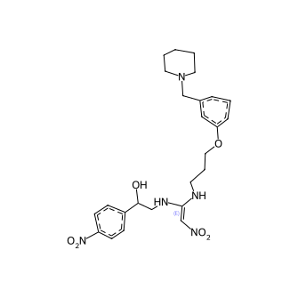 O=[N+]([O-])/C=C(\NCCCOc1cccc(CN2CCCCC2)c1)NCC(O)c1ccc([N+](=O)[O-])cc1